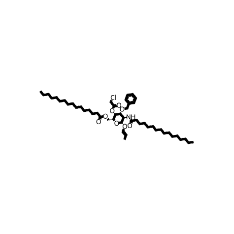 CC=CO[C@@H]1O[C@H](COC(=O)CCCCCCCCCCCCCCC)[C@@H](OC(=O)CCl)[C@H](OCc2ccccc2)[C@H]1NC(=O)CCCCCCCCCCCCCCC